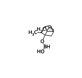 CC1CCC2CC1(OBO)C2(C)C